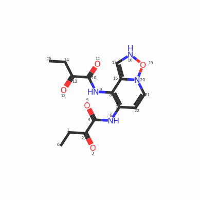 CCC(=O)C(=O)NC1=C(NC(=O)C(=O)CC)C2=CNON2C=C1